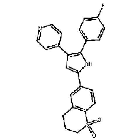 O=S1(=O)CCCc2cc(-c3cc(-c4ccncc4)c(-c4ccc(F)cc4)[nH]3)ccc21